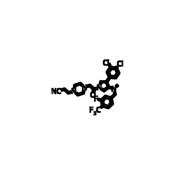 CN(Cc1ccc(C(F)(F)F)c(F)c1)C1CN(C(=O)CN2CCN(CCC#N)CC2)CC1c1ccc(Cl)c(Cl)c1